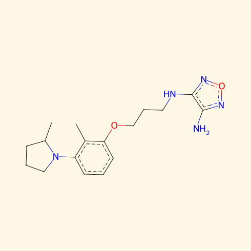 Cc1c(OCCCNc2nonc2N)cccc1N1CCCC1C